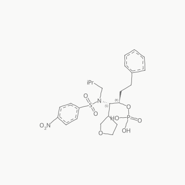 CC(C)CN([C@@H](C1CCOC1)[C@@H](CCc1ccccc1)OP(=O)(O)O)S(=O)(=O)c1ccc([N+](=O)[O-])cc1